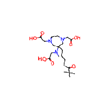 CN(CC(=O)O)C1(CCCCC(=O)C(C)(C)C)CN(CC(=O)O)CCN(CC(=O)O)C1